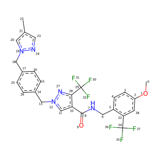 COc1ccc(CNC(=O)c2cn(Cc3ccc(Cn4cc(C)cn4)cc3)nc2C(F)(F)F)c(C(F)(F)F)c1